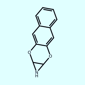 c1ccc2cc3c(cc2c1)OC1NC1O3